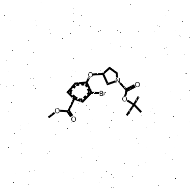 COC(=O)c1ccc(OC2CCN(C(=O)OC(C)(C)C)C2)c(Br)c1